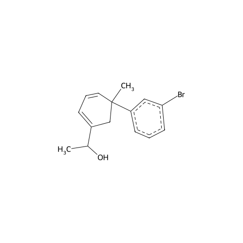 CC(O)C1=CC=CC(C)(c2cccc(Br)c2)C1